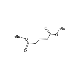 CCCCOC(=O)C=CCC(=O)OCCCC